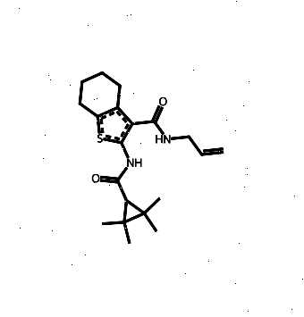 C=CCNC(=O)c1c(NC(=O)C2C(C)(C)C2(C)C)sc2c1CCCC2